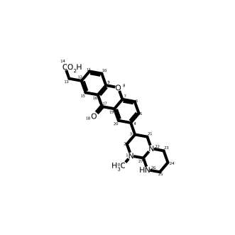 CN1CC(c2ccc3oc4ccc(CC(=O)O)cc4c(=O)c3c2)CN2CCCNC12